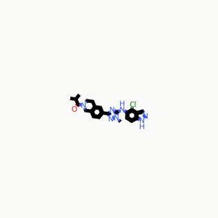 CC(C)C(=O)N1CCc2cc(-c3nc(Nc4ccc5[nH]ncc5c4Cl)n(C)n3)ccc2C1